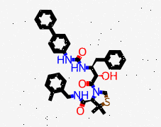 Cc1ccccc1CNC(=O)[C@H]1N(C(=O)[C@@H](O)[C@H](Cc2ccccc2)NC(=O)Nc2ccc(-c3ccccc3)cc2)CSC1(C)C